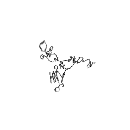 CN(C)CCOc1cc(C=C2SC(=O)NC2=O)nc(N2CCN(S(=O)(=O)c3ccccc3)CC2)n1